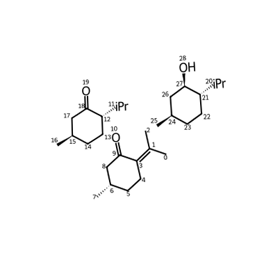 CC(C)=C1CC[C@H](C)CC1=O.CC(C)[C@@H]1CC[C@@H](C)CC1=O.CC(C)[C@@H]1CC[C@@H](C)C[C@H]1O